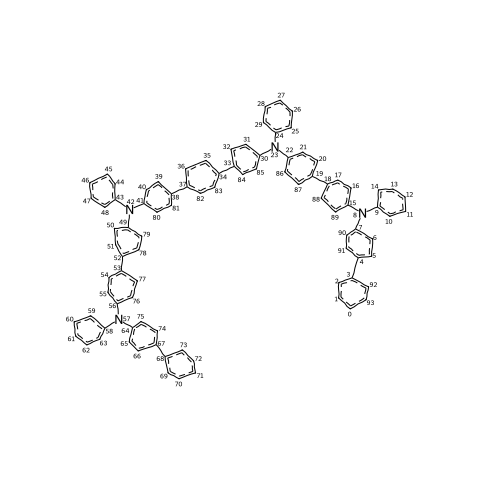 c1ccc(-c2ccc(N(c3ccccc3)c3ccc(-c4ccc(N(c5ccccc5)c5ccc(-c6ccc(-c7ccc(N(c8ccccc8)c8ccc(-c9ccc(N(c%10ccccc%10)c%10ccc(-c%11ccccc%11)cc%10)cc9)cc8)cc7)cc6)cc5)cc4)cc3)cc2)cc1